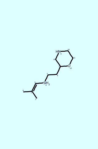 CC(C)=C[SiH2]CCC1CNCCO1